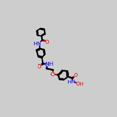 O=C(NO)c1ccc(OCCNC(=O)c2ccc(NC(=O)c3ccccc3)cc2)cc1